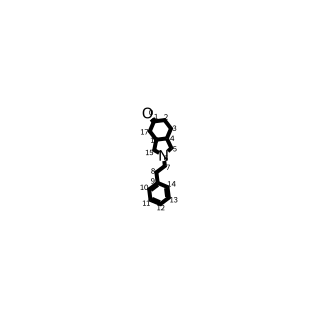 O=C1CCC2CN(CCc3ccccc3)CC2C1